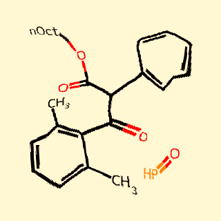 CCCCCCCCOC(=O)C(C(=O)c1c(C)cccc1C)c1ccccc1.O=P